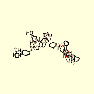 Cc1nccn1-c1ccc(CNC(=O)[C@@H]2C[C@@H](O)CN2C(=O)[C@@H](NC(=O)[C@H]2CC[C@@H](N3CCC(c4cnc(N5C6CCC5CN(c5cc(-c7ccccc7O)nnc5N)C6)nc4)CC3)CC2)C(C)(C)C)cc1